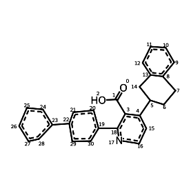 O=C(O)c1c(C2CCc3ccccc3C2)ccnc1-c1ccc(-c2ccccc2)cc1